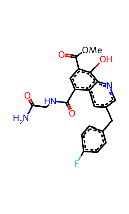 COC(=O)c1cc(C(=O)NCC(N)=O)c2cc(Cc3ccc(F)cc3)cnc2c1O